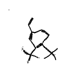 C=[C]c1ccc(C(C)(C)C)c(C(F)(F)F)c1